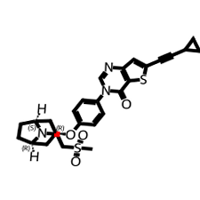 CS(=O)(=O)CCN1[C@@H]2CC[C@H]1C[C@@H](Oc1ccc(-n3cnc4cc(C#CC5CC5)sc4c3=O)cc1)C2